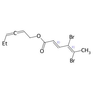 CCC=C=CCOC(=O)/C=C/C(Br)=C(/C)Br